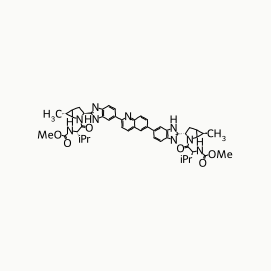 COC(=O)N[C@H](C(=O)N1C2C(C[C@H]1c1nc3ccc(-c4ccc5nc(-c6ccc7nc([C@@H]8CC9C([C@@H]9C)N8C(=O)[C@@H](NC(=O)OC)C(C)C)[nH]c7c6)ccc5c4)cc3[nH]1)[C@H]2C)C(C)C